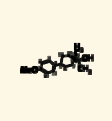 COc1ccc(C2CC[N+](C)(C(C)O)CC2)cc1